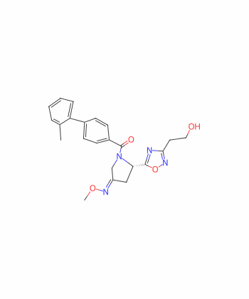 CON=C1C[C@@H](c2nc(CCO)no2)N(C(=O)c2ccc(-c3ccccc3C)cc2)C1